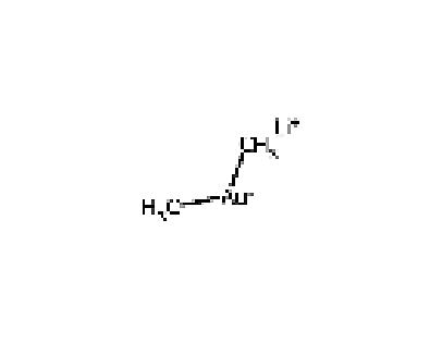 [CH3][Au-][CH3].[Li+]